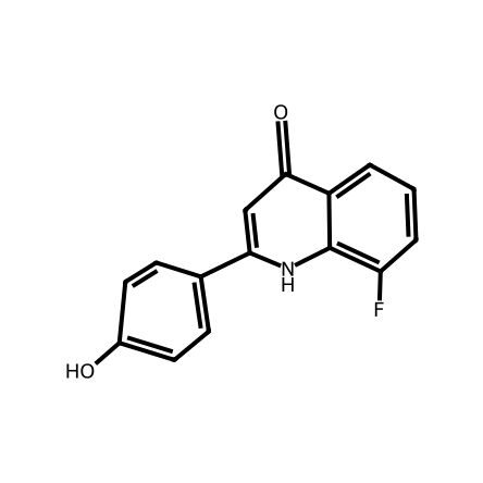 O=c1cc(-c2ccc(O)cc2)[nH]c2c(F)cccc12